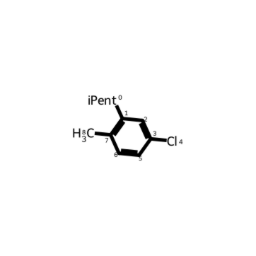 CCCC(C)c1cc(Cl)ccc1C